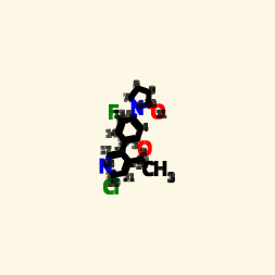 C[C@@H]1Oc2cc(N3CCCC3=O)c(F)cc2-c2cnc(Cl)cc21